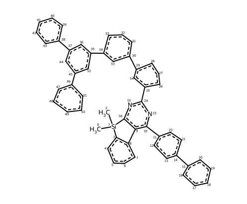 C[Si]1(C)c2ccccc2-c2c(-c3ccc(-c4ccccc4)cc3)nc(-c3cccc(-c4cccc(-c5cc(-c6ccccc6)cc(-c6ccccc6)c5)c4)c3)nc21